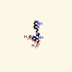 COC(=O)C[C@H](NC1CN(CCc2ccc3c(n2)NCCC3)C1)c1ccc(OC)nc1